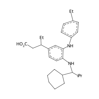 CCc1ccc(Nc2cc(C(CC)CC(=O)O)ccc2NC(C(C)C)C2CCCCC2)cc1